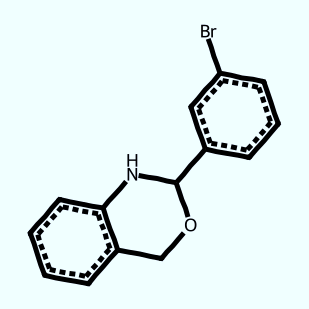 Brc1cccc(C2Nc3ccccc3CO2)c1